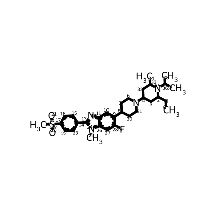 CCC1CC(N2CCC(c3cc4nc(-c5ccc(S(C)(=O)=O)cc5)n(C)c4cc3F)CC2)CC(C)N1C(C)C